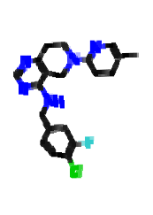 Cc1ccc(N2CCc3ncnc(NCc4ccc(Cl)c(F)c4)c3C2)nc1